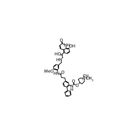 COc1ccc(CNC[C@H](O)c2ccc(O)c3[nH]c(=O)ccc23)cc1NC(=O)CCc1ccc(-c2ccccc2)c(NC(=O)OC2CC[N+](C)(C)CC2)c1